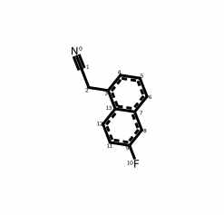 N#CCc1cccc2cc(F)ccc12